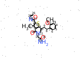 COc1ccccc1CCc1cn(CC(N)=O)c(=O)c2c(C)c(-c3ncco3)sc12